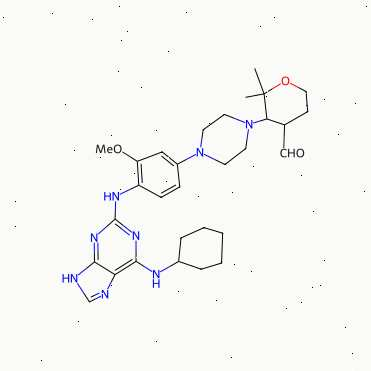 COc1cc(N2CCN(C3C(C=O)CCOC3(C)C)CC2)ccc1Nc1nc(NC2CCCCC2)c2nc[nH]c2n1